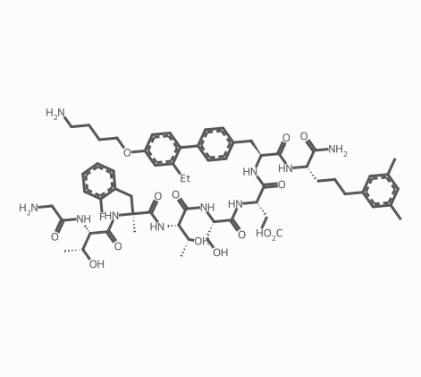 CCc1cc(OCCCCN)ccc1-c1ccc(C[C@H](NC(=O)[C@H](CC(=O)O)NC(=O)[C@H](CO)NC(=O)[C@@H](NC(=O)[C@](C)(Cc2ccccc2F)NC(=O)[C@@H](NC(=O)CN)[C@@H](C)O)[C@@H](C)O)C(=O)N[C@@H](CCCc2cc(C)cc(C)c2)C(N)=O)cc1